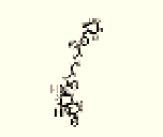 O=C(CCCCCCC(=O)OCc1ccccc1)Nc1ccc2c(c1)CCC(=O)N2